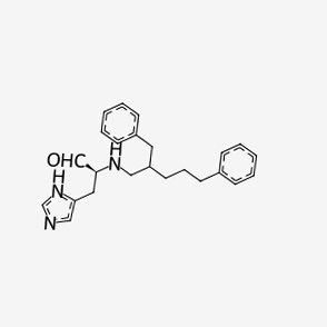 O=C[C@H](Cc1cnc[nH]1)NCC(CCCc1ccccc1)Cc1ccccc1